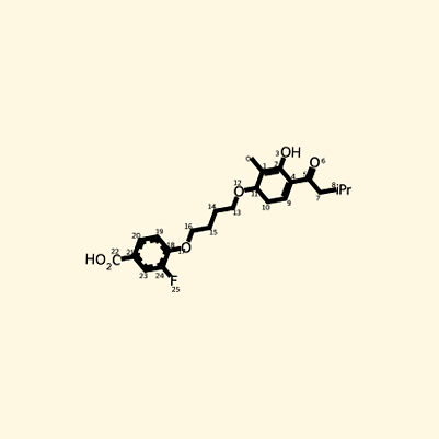 CC1=C(O)C(C(=O)CC(C)C)=CCC1OCCCCOc1ccc(C(=O)O)cc1F